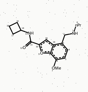 CCCNCc1ccc(OC)c2oc(C(=O)NC3CCC3)cc12